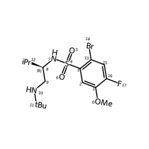 COc1cc(S(=O)(=O)N[C@@H](CNC(C)(C)C)C(C)C)c(Br)cc1F